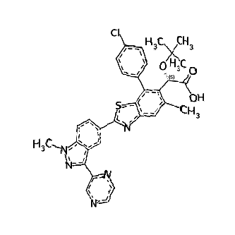 Cc1cc2nc(-c3ccc4c(c3)c(-c3cnccn3)nn4C)sc2c(-c2ccc(Cl)cc2)c1[C@H](OC(C)(C)C)C(=O)O